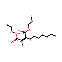 CCCCCCC/C(C(=O)OCCC)=C(\C)C(=O)OCCC